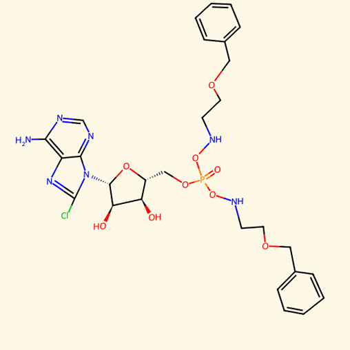 Nc1ncnc2c1nc(Cl)n2[C@@H]1O[C@H](COP(=O)(ONCCOCc2ccccc2)ONCCOCc2ccccc2)[C@@H](O)[C@H]1O